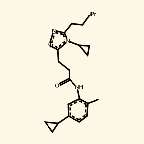 Cc1ccc(C2CC2)cc1NC(=O)CCc1nnc(CCC(C)C)n1C1CC1